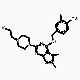 COc1ccc(CNc2nc(N3CCN(CCO)CC3)nc3sc(C)c(C)c23)cc1Cl